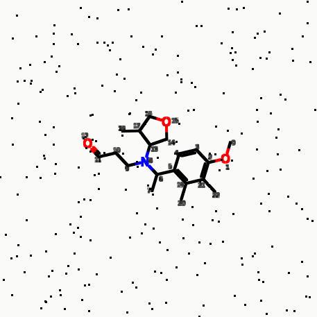 COc1ccc(C(C)N(CCC=O)C2COCC2C)c(C)c1C